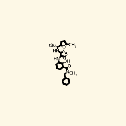 Cc1ccc([C@H](Nc2nsnc2Nc2cccc(C(=O)N(C)Cc3ccccc3)c2O)C(C)(C)C)o1